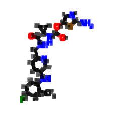 Nc1ncc(OC(=O)NC2(C(=O)NCc3ccc(Nc4ccc(F)cc4C(F)(F)F)cn3)CC2)s1